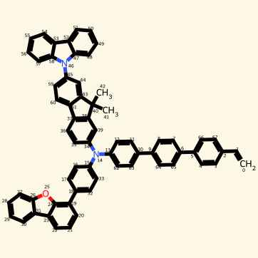 C=Cc1ccc(-c2ccc(-c3ccc(N(c4ccc(-c5cccc6c5oc5ccccc56)cc4)c4ccc5c(c4)C(C)(C)c4cc(-n6c7ccccc7c7ccccc76)ccc4-5)cc3)cc2)cc1